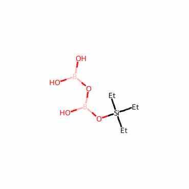 CC[Si](CC)(CC)OB(O)OB(O)O